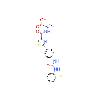 CC(C)[C@H](NC(=O)c1csc(-c2ccc(NC(=O)Nc3ccc(F)cc3F)cc2)n1)C(=O)O